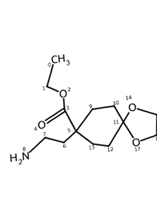 CCOC(=O)C1(CCN)CCC2(CC1)OCCO2